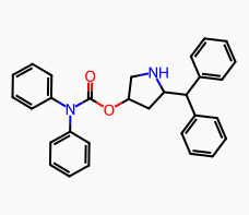 O=C(OC1CNC(C(c2ccccc2)c2ccccc2)C1)N(c1ccccc1)c1ccccc1